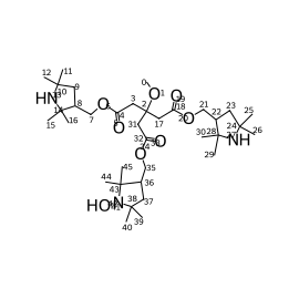 COC(CC(=O)OCC1CC(C)(C)NC1(C)C)(CC(=O)OCC1CC(C)(C)NC1(C)C)CC(=O)OCC1CC(C)(C)N(O)C1(C)C